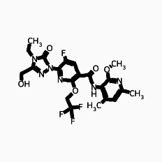 CCn1c(CO)nn(-c2nc(OCC(F)(F)F)c(C(=O)Nc3c(C)cc(C)nc3OC)cc2F)c1=O